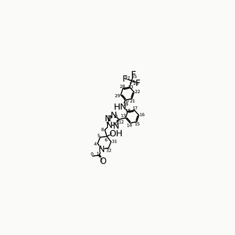 CC(=O)N1CCC(O)(Cn2nnc(-c3ccccc3Nc3ccc(C(F)(F)F)cc3)n2)CC1